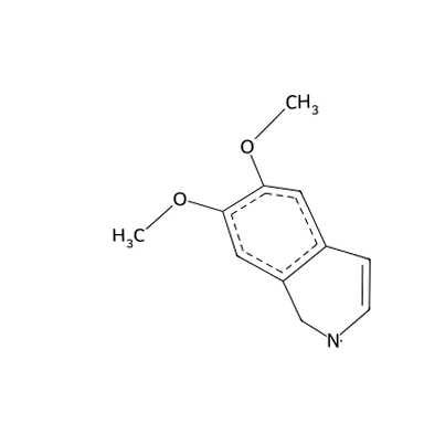 COc1cc2c(cc1OC)C[N]C=C2